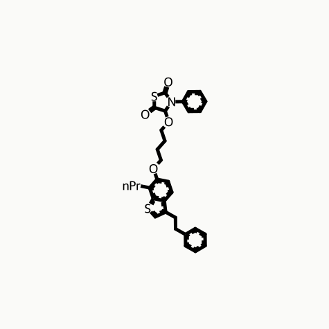 CCCc1c(OCCCCOC2C(=O)SC(=O)N2c2ccccc2)ccc2c(CCc3ccccc3)csc12